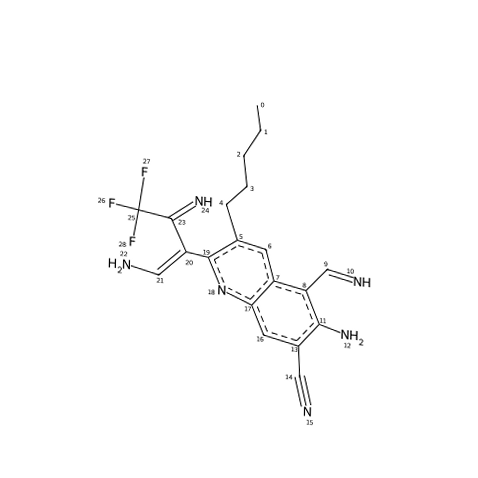 CCCCCc1cc2c(C=N)c(N)c(C#N)cc2nc1/C(=C/N)C(=N)C(F)(F)F